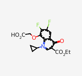 CCOC(=O)c1cn(C2CC2)c2c(OCC(=O)O)c(F)c(F)cc2c1=O